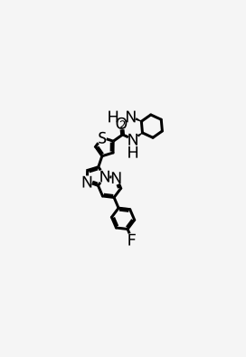 N[C@H]1CCCC[C@H]1NC(=O)c1cc(-c2cnc3cc(-c4ccc(F)cc4)cnn23)cs1